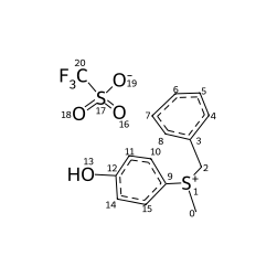 C[S+](Cc1ccccc1)c1ccc(O)cc1.O=S(=O)([O-])C(F)(F)F